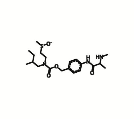 CCC(C)CN(CC[S+](C)[O-])C(=O)OCc1ccc(NC(=O)C(C)NC)cc1